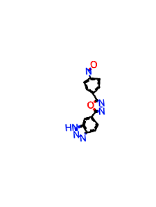 O=Nc1ccc(-c2nnc(-c3ccc4nn[nH]c4c3)o2)cc1